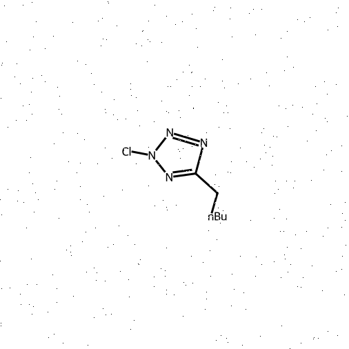 CCCCCc1nnn(Cl)n1